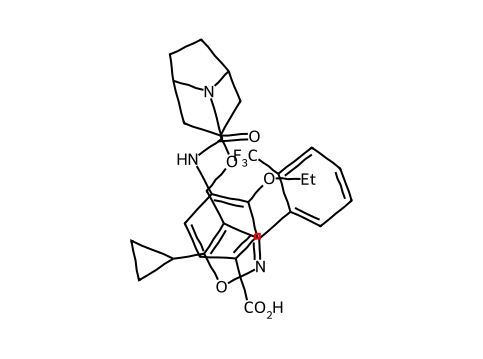 CCOc1cc(C(=O)O)ccc1NC(=O)N1C2CCC1CC(OCc1c(-c3ccccc3C(F)(F)F)noc1C1CC1)C2